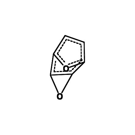 c1cc2oc1c1c2O1